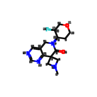 CN1CC2(C1)C(=O)N([C@@H]1CCOC[C@@H]1F)Cc1cncnc12